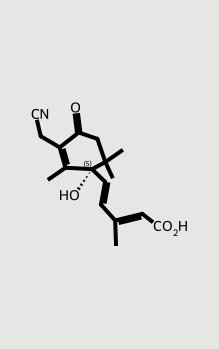 CC(C=C[C@@]1(O)C(C)=C(CC#N)C(=O)CC1(C)C)=CC(=O)O